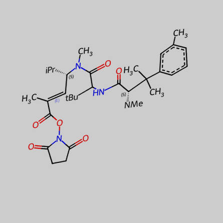 CN[C@H](C(=O)NC(C(=O)N(C)[C@H](/C=C(\C)C(=O)ON1C(=O)CCC1=O)C(C)C)C(C)(C)C)C(C)(C)c1cccc(C)c1